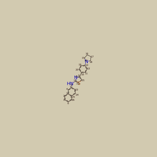 c1ccc2cc(Nc3nc(-c4ccc(N5CCCC5)cc4)cs3)ccc2c1